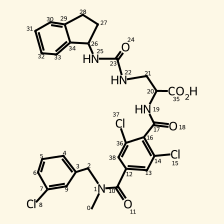 CN(Cc1cccc(Cl)c1)C(=O)c1cc(Cl)c(C(=O)NC(CNC(=O)NC2CCc3ccccc32)C(=O)O)c(Cl)c1